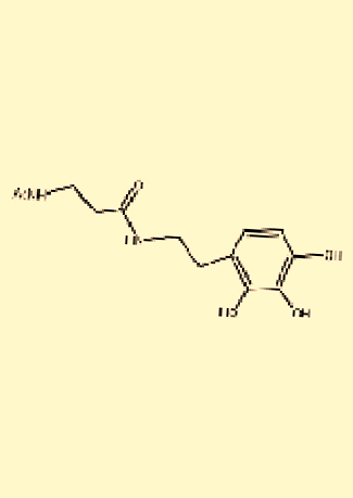 CC(=O)NCCC(=O)NCCc1ccc(O)c(O)c1O